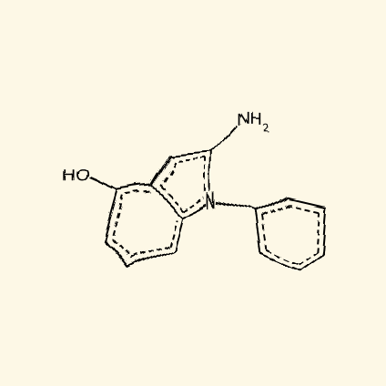 Nc1cc2c(O)cccc2n1-c1ccccc1